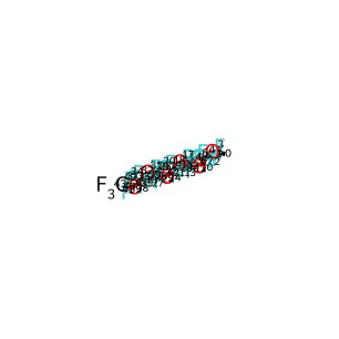 CC(F)(F)OC(F)(F)C(F)(F)OC(F)(F)C(F)(F)OC(F)(F)C(F)(F)OC(F)(F)C(F)(F)OC(F)(F)C(F)(F)OC(F)(F)C(F)(F)F